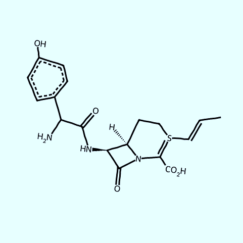 CC=CS1=C(C(=O)O)N2C(=O)[C@@H](NC(=O)C(N)c3ccc(O)cc3)[C@H]2CC1